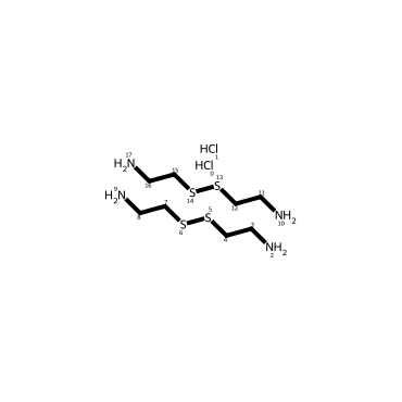 Cl.Cl.NCCSSCCN.NCCSSCCN